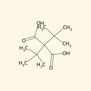 CC(C)(C)C(C(=O)O)(C(=O)O)C(C)(C)C